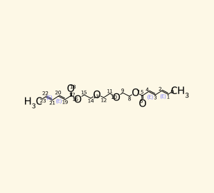 C/C=C/C=C/C(=O)OCCOCCOCCOC(=O)/C=C/C=C/C